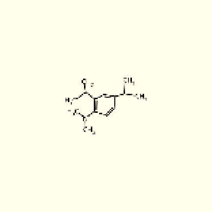 CC(C)c1ccc(N(C)C)c(C(C)C)c1